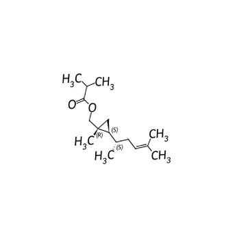 CC(C)=CC[C@H](C)[C@@H]1C[C@@]1(C)COC(=O)C(C)C